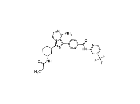 CCC(=O)N[C@@H]1CCC[C@@H](c2nc(-c3ccc(C(=O)Nc4cc(C(F)(F)F)ccn4)cc3)c3c(N)nccn23)C1